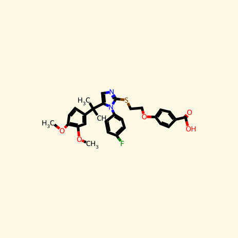 COc1ccc(C(C)(C)c2cnc(SCCOc3ccc(C(=O)O)cc3)n2-c2ccc(F)cc2)cc1OC